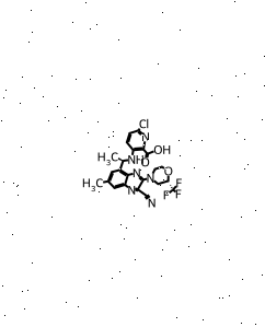 Cc1cc([C@@H](C)Nc2ccc(Cl)nc2C(=O)O)c2nc(N3CCO[C@H](C(F)(F)F)C3)c(C#N)nc2c1